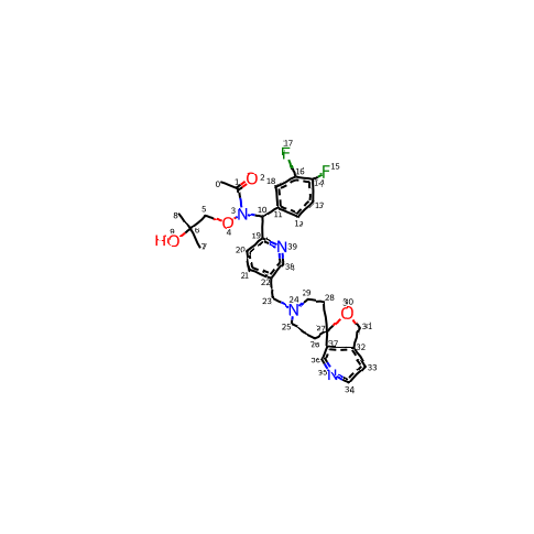 CC(=O)N(OCC(C)(C)O)C(c1ccc(F)c(F)c1)c1ccc(CN2CCC3(CC2)OCc2ccncc23)cn1